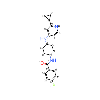 O=C(NC1CCC(Nc2ccnc(C3CC3)c2)CC1)c1ccc(F)cc1